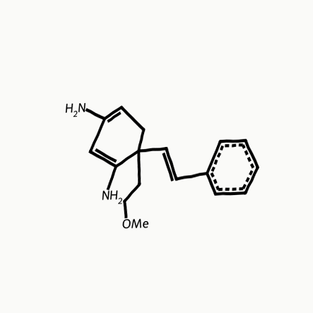 COCCC1(C=Cc2ccccc2)CC=C(N)C=C1N